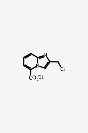 CCOC(=O)c1cccc2nc(CCl)cn12